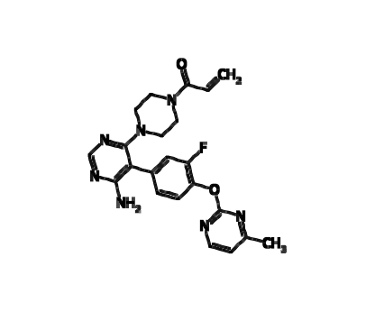 C=CC(=O)N1CCN(c2ncnc(N)c2-c2ccc(Oc3nccc(C)n3)c(F)c2)CC1